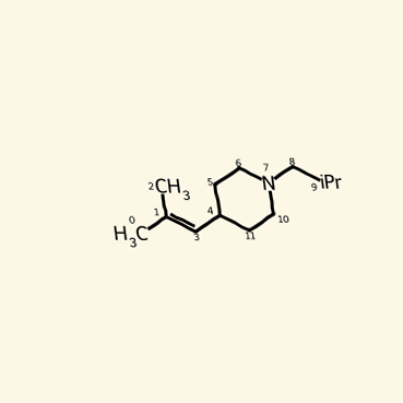 CC(C)=CC1CCN(CC(C)C)CC1